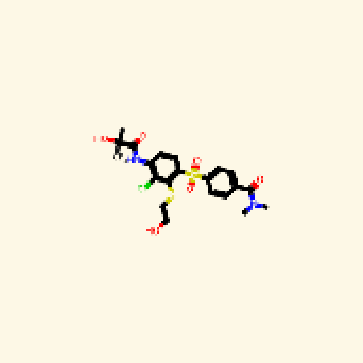 CN(C)C(=O)c1ccc(S(=O)(=O)c2ccc(NC(=O)C(C)(O)C(F)(F)F)c(Cl)c2SCCO)cc1